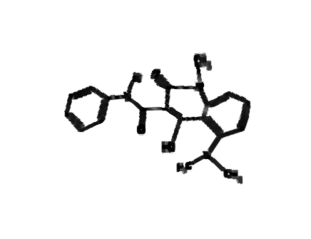 CCN(C(=O)c1c(O)c2c(N(C)C)cccc2n(C)c1=O)c1ccccc1